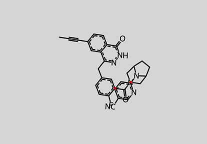 CC#Cc1ccc2c(=O)[nH]nc(Cc3ccc(F)c(C(=O)N4CC5CCC(C4)N5c4ccc(C#N)cn4)c3)c2c1